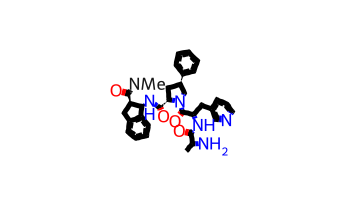 CNC(=O)[C@@H]1Cc2ccccc2[C@@H]1NC(=O)[C@@H]1C[C@H](c2ccccc2)CN1C(=O)C(Cc1cccnc1)NC(=O)C(C)N